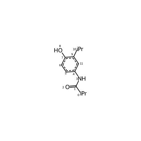 CC(C)C(=O)Nc1ccc(O)c(C(C)C)c1